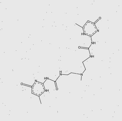 Cc1cc(=O)nc(NC(=O)NCCN(C)CCNC(=O)Nc2nc(=O)cc(C)[nH]2)[nH]1